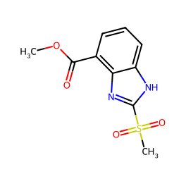 COC(=O)c1cccc2[nH]c(S(C)(=O)=O)nc12